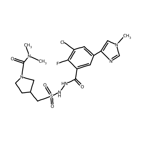 CN(C)C(=O)N1CCC(CS(=O)(=O)NNC(=O)c2cc(-c3cn(C)cn3)cc(Cl)c2F)C1